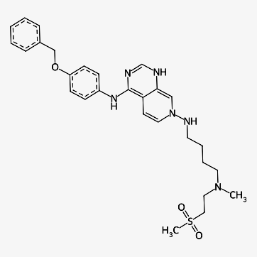 CN(CCCCNN1C=CC2=C(Nc3ccc(OCc4ccccc4)cc3)N=CNC2=C1)CCS(C)(=O)=O